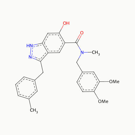 COc1ccc(CN(C)C(=O)c2cc3c(Cc4cccc(C)c4)n[nH]c3cc2O)cc1OC